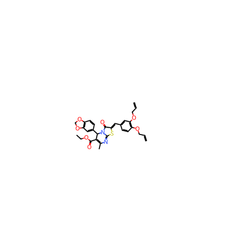 C=CCOc1ccc(C=c2sc3n(c2=O)C(c2ccc4c(c2)OCO4)C(C(=O)OCC)=C(C)N=3)cc1OCC=C